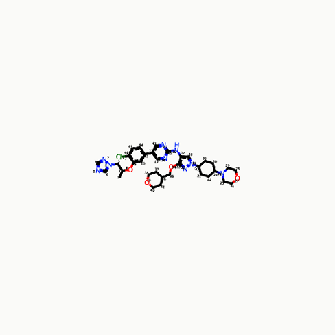 CC(Cn1cncn1)Oc1cc(-c2cnc(Nc3cn(C4CCC(N5CCOCC5)CC4)nc3OCC3CCOCC3)nc2)ccc1Cl